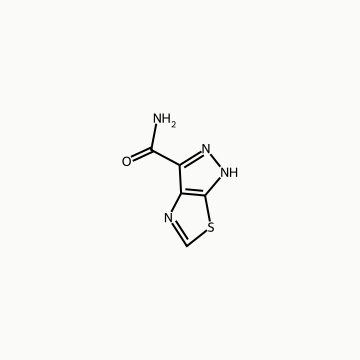 NC(=O)c1n[nH]c2scnc12